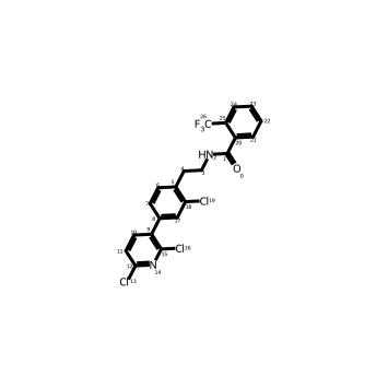 O=C(NCCc1ccc(-c2ccc(Cl)nc2Cl)cc1Cl)c1ccccc1C(F)(F)F